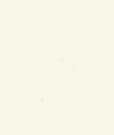 COC(=O)c1cccc(N2CC(Oc3ccc(NC(C)=O)cc3)C2)c1-n1cccc1